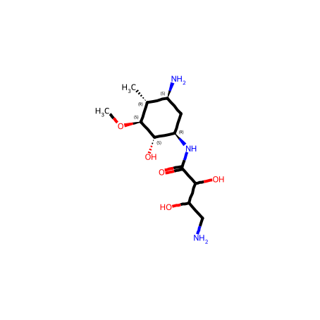 CO[C@H]1[C@H](C)[C@@H](N)C[C@@H](NC(=O)C(O)C(O)CN)[C@@H]1O